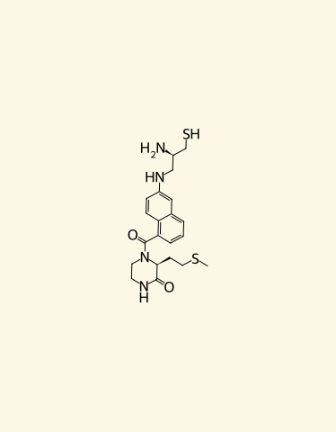 CSCC[C@H]1C(=O)NCCN1C(=O)c1cccc2cc(NC[C@@H](N)CS)ccc12